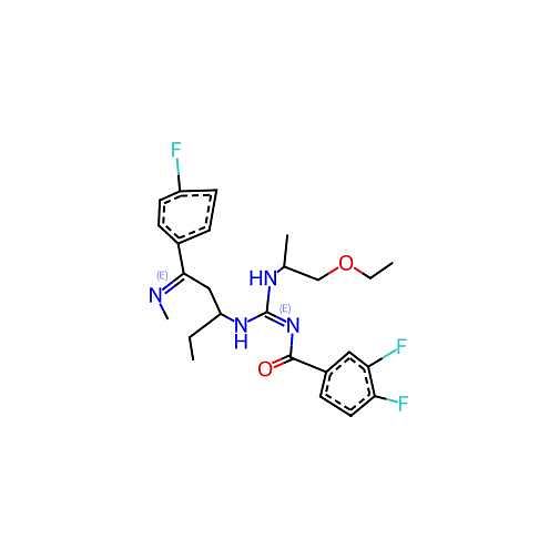 CCOCC(C)N/C(=N/C(=O)c1ccc(F)c(F)c1)NC(CC)C/C(=N\C)c1ccc(F)cc1